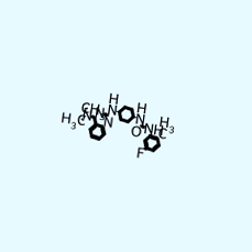 Cc1ccc(F)cc1NC(=O)N[C@H]1CC[C@@H](Nc2nc(N(C)C)c3ccccc3n2)CC1